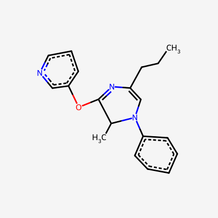 CCCC1=CN(c2ccccc2)C(C)C(Oc2cccnc2)=N1